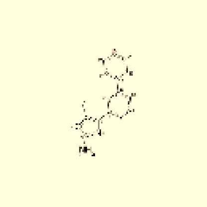 Cc1oc(N)nc1-c1cccc(-c2ccccc2)c1